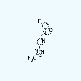 Fc1ccc2c(c1)N(Cc1ccc(-c3noc(C(F)(F)F)n3)cn1)CCO2